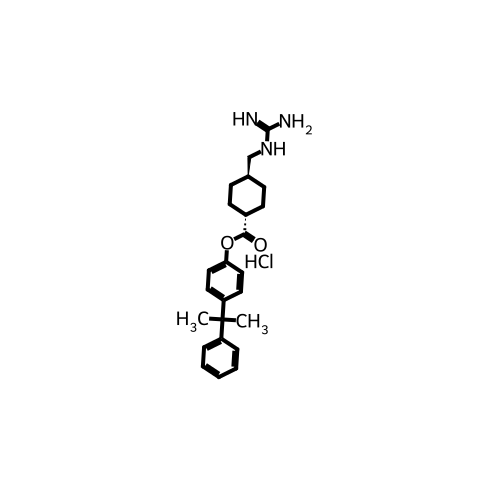 CC(C)(c1ccccc1)c1ccc(OC(=O)[C@H]2CC[C@H](CNC(=N)N)CC2)cc1.Cl